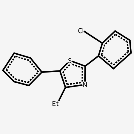 CCc1nc(-c2ccccc2Cl)sc1-c1ccccc1